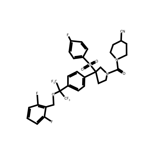 N#CC1CCN(C(=O)N2CCC(c3ccc(C(OCc4c(F)cccc4F)(C(F)(F)F)C(F)(F)F)cc3)(S(=O)(=O)c3ccc(F)cc3)C2)CC1